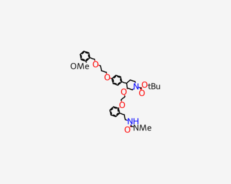 CNC(=O)NCCc1ccccc1OCCOC1CN(C(=O)OC(C)(C)C)CCC1c1ccc(OCCCOCc2ccccc2OC)cc1